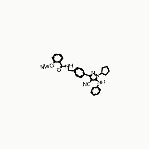 COc1ccccc1C(=O)NCc1ccc(-c2nn(C3CCCC3)c(Nc3ccccc3)c2C#N)cc1